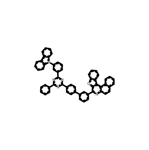 c1ccc(-c2nc(-c3ccc(-c4cccc(-c5nc6ccc7ccccc7c6c6c5oc5ccccc56)c4)cc3)nc(-c3cccc(-n4c5ccccc5c5ccccc54)c3)n2)cc1